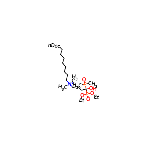 CCCCCCCCCCCCCCCCCC[N+](C)(C)CCCC(O)(P(C)(C)=O)P(=O)(OCC)OCC